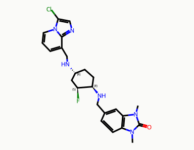 Cn1c(=O)n(C)c2cc(CN[C@@H]3CC[C@@H](NCc4cccn5c(Cl)cnc45)C[C@@H]3F)ccc21